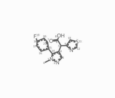 Cn1ncc(C(C(=O)O)c2cscn2)c1-c1ccc(F)cc1